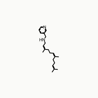 CC(C)=CCCC(C)=CCCC(C)=CCNCc1cccnc1